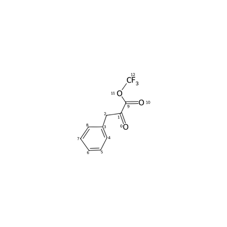 O=C(Cc1ccccc1)C(=O)OC(F)(F)F